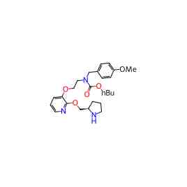 CCCCOC(=O)N(CCOc1cccnc1OC[C@H]1CCCN1)Cc1ccc(OC)cc1